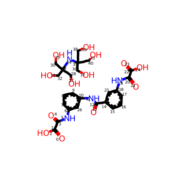 O=C(O)C(=O)Nc1cccc(NC(=O)c2cccc(NC(=O)C(=O)O)c2)c1.OCC(CO)(CO)NC(CO)(CO)CO